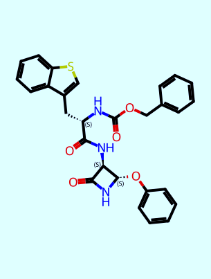 O=C(N[C@@H](Cc1csc2ccccc12)C(=O)N[C@@H]1C(=O)N[C@H]1Oc1ccccc1)OCc1ccccc1